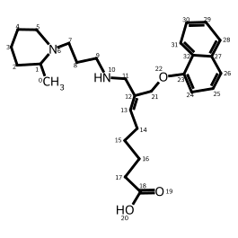 CC1CCCCN1CCCNC/C(=C/CCCCC(=O)O)COc1cccc2ccccc12